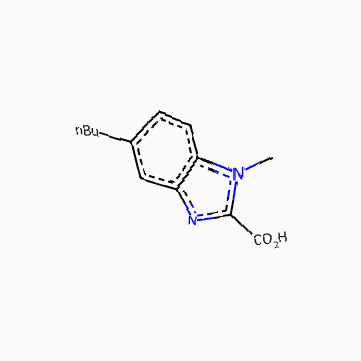 CCCCc1ccc2c(c1)nc(C(=O)O)n2C